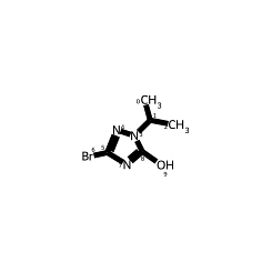 CC(C)n1nc(Br)nc1O